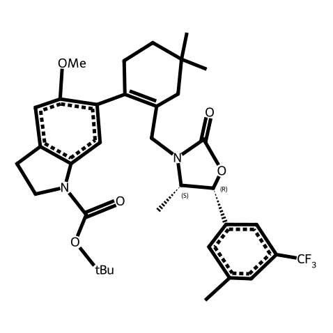 COc1cc2c(cc1C1=C(CN3C(=O)O[C@H](c4cc(C)cc(C(F)(F)F)c4)[C@@H]3C)CC(C)(C)CC1)N(C(=O)OC(C)(C)C)CC2